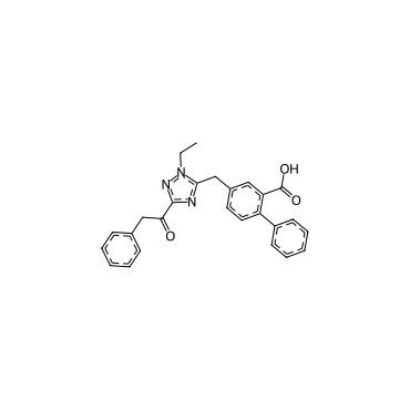 CCn1nc(C(=O)Cc2ccccc2)nc1Cc1ccc(-c2ccccc2)c(C(=O)O)c1